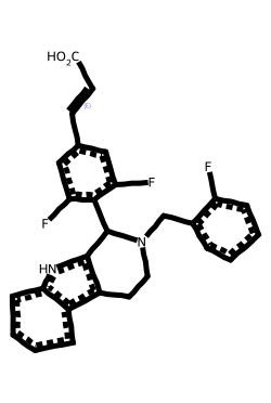 O=C(O)/C=C/c1cc(F)c(C2c3[nH]c4ccccc4c3CCN2Cc2ccccc2F)c(F)c1